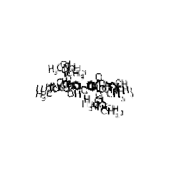 CC1(C)CC(COC(=O)c2ccc(Oc3ccc(C(=O)OCC4CC(C)(C)NC4(C)C)c(C(O)OCC4CC(C)(C)NC4(C)C)c3)cc2C(=O)OCC2CC(C)(C)NC2(C)C)C(C)(C)N1